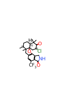 C[C@H]1CC[C@H]2C(C)(C)C(=O)[C@@H](Cl)C[C@]23Oc2c(cc(C(F)(F)F)c4c2CNC4=O)CC13C